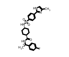 Cc1c[nH]c(-c2ccc(S(=O)(=O)N[C@H]3CC[C@H](C(=O)N[C@H](C)c4ccc(F)cc4)CC3)cc2)n1